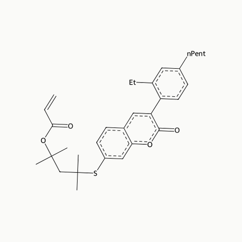 C=CC(=O)OC(C)(C)CC(C)(C)Sc1ccc2cc(-c3ccc(CCCCC)cc3CC)c(=O)oc2c1